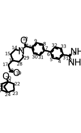 N=C(N)c1ccc(-c2ccc(C(=O)N3CCC(CC(=O)OC45CCC(CC4)C5)CC3)cc2)cc1